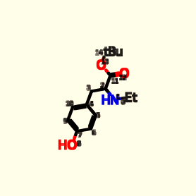 CCNC(Cc1ccc(O)cc1)C(=O)OC(C)(C)C